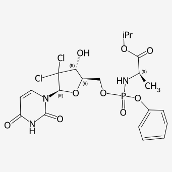 CC(C)OC(=O)[C@@H](C)NP(=O)(OC[C@H]1O[C@@H](n2ccc(=O)[nH]c2=O)C(Cl)(Cl)[C@@H]1O)Oc1ccccc1